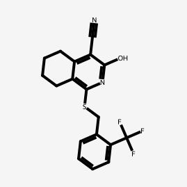 N#Cc1c(O)nc(SCc2ccccc2C(F)(F)F)c2c1CCCC2